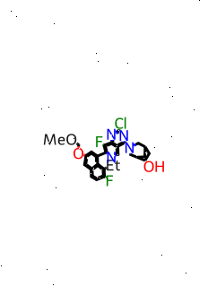 CCc1c(F)ccc2cc(OCOC)cc(-c3ncc4c(N5CC6CC(O)C(C6)C5)nc(Cl)nc4c3F)c12